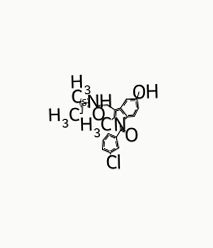 CC[C@H](C)NC(=O)Cc1c(C)n(C(=O)c2cccc(Cl)c2)c2ccc(O)cc12